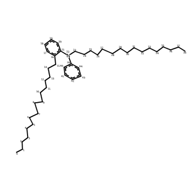 CCCCCCCCCCCCCCCCc1ccccc1N(CCCCCCCCCCCCCCCC)c1ccccc1